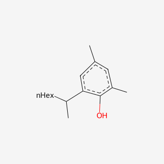 CCCCCCC(C)c1cc(C)cc(C)c1O